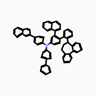 c1ccc(-c2ccc(N(c3ccc(-c4ccc5ccccc5c4)cc3)c3ccc(-c4ccccc4C4CCc5ccccc5-c5ccccc54)c(-c4cccc5ccccc45)c3)cc2)cc1